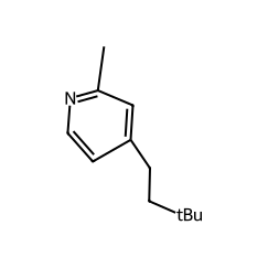 Cc1cc(CCC(C)(C)C)ccn1